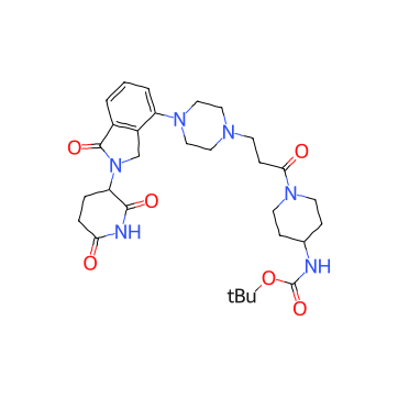 CC(C)(C)OC(=O)NC1CCN(C(=O)CCN2CCN(c3cccc4c3CN(C3CCC(=O)NC3=O)C4=O)CC2)CC1